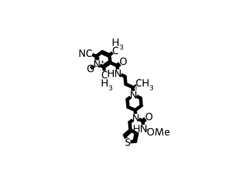 CONC(=O)N(Cc1ccsc1)C1CCN([C@H](C)CCNC(=O)c2c(C)cc(C#N)[n+]([O-])c2C)CC1